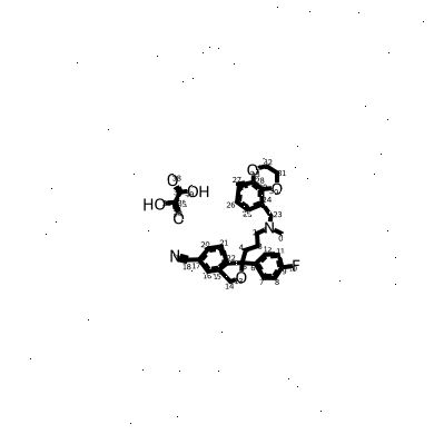 CN(CCCC1(c2ccc(F)cc2)OCc2cc(C#N)ccc21)Cc1cccc2c1OCCO2.O=C(O)C(=O)O